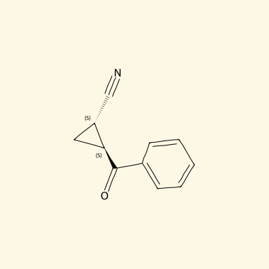 N#C[C@H]1C[C@@H]1C(=O)c1ccccc1